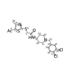 CC(=O)c1sc(SCC(=O)NC2CCN(Cc3ccc(Cl)c(Cl)c3)CC2)nc1C